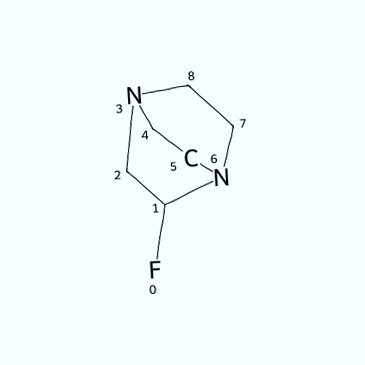 FC1CN2CCN1CC2